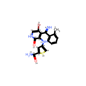 Cc1ccccc1C(=N)c1c(Br)c[nH]c(=O)c1Nc1csc(C(N)=O)c1